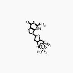 COP(=O)(OC1OC(n2cnc3c(=O)nc(N)[nH]c32)CC1O)OP(=O)(O)O